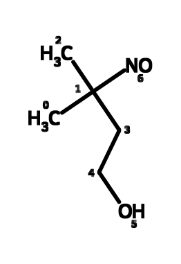 CC(C)(CCO)N=O